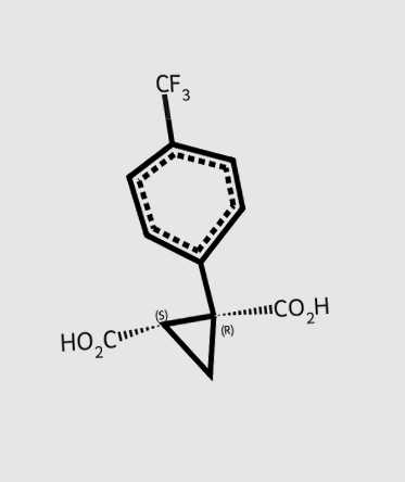 O=C(O)[C@H]1C[C@]1(C(=O)O)c1ccc(C(F)(F)F)cc1